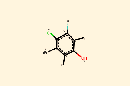 Cc1c(O)c(C)c(C(C)C)c(Cl)c1F